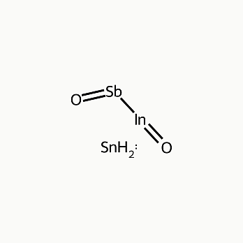 [O]=[In][Sb]=[O].[SnH2]